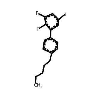 CCCCCc1ccc(-c2cc(I)cc(F)c2F)cc1